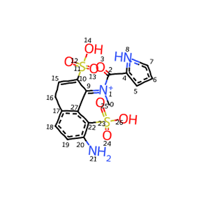 C[N+](C(=O)c1ccc[nH]1)=C1C(S(=O)(=O)O)=CCc2ccc(N)c(S(=O)(=O)O)c21